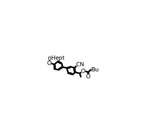 CCCCCCCOc1ccc(-c2ccc(C(C)OC(=O)C(C)CC)c(C#N)c2)cc1